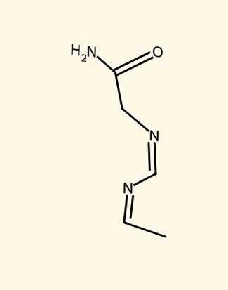 C/C=N\C=N/CC(N)=O